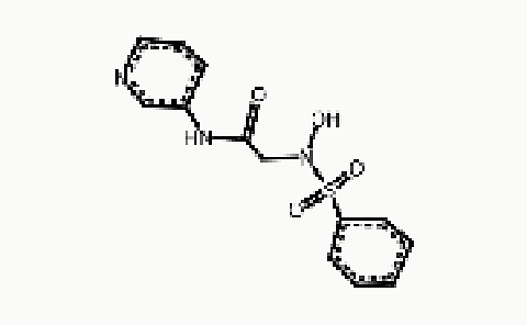 O=C(CN(O)S(=O)(=O)c1ccccc1)Nc1cccnc1